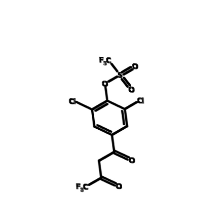 O=C(CC(=O)C(F)(F)F)c1cc(Cl)c(OS(=O)(=O)C(F)(F)F)c(Cl)c1